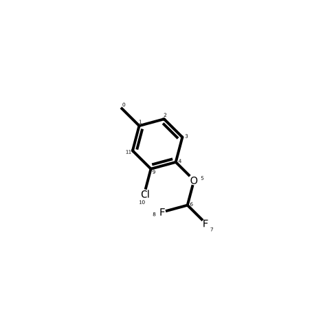 Cc1ccc(OC(F)F)c(Cl)c1